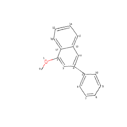 COc1cc(-c2ccccc2)cc2ccccc12